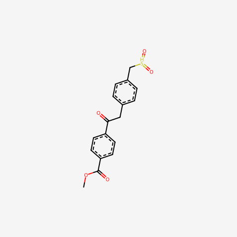 COC(=O)c1ccc(C(=O)Cc2ccc(C[SH](=O)=O)cc2)cc1